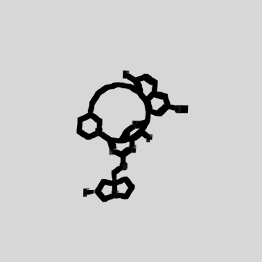 Oc1cc2c3c(c(F)ccc3c1)CCCCCC1CCCN(C1)c1nc(OC[C@@]34CCCN3C[C@H](F)C4)nc3c(F)c-2ncc13